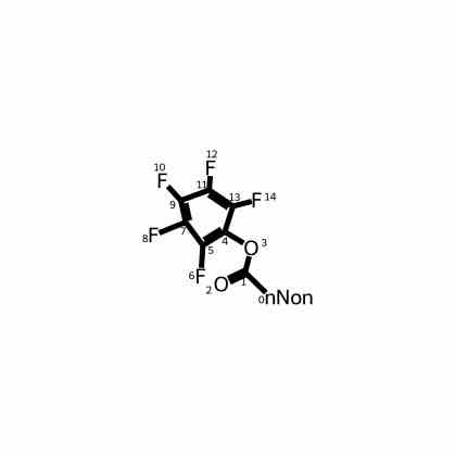 CCCCCCCCCC(=O)Oc1c(F)c(F)c(F)c(F)c1F